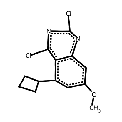 COc1cc(C2CCC2)c2c(Cl)nc(Cl)nc2c1